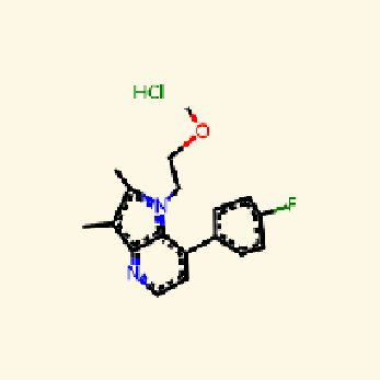 COCCn1c(C)c(C)c2nccc(-c3ccc(F)cc3)c21.Cl